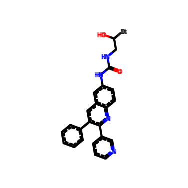 CCC(O)CNC(=O)Nc1ccc2nc(-c3cccnc3)c(-c3ccccc3)cc2c1